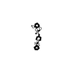 COc1cccc2c1OC(N(C)CC1CCN(c3nc4ccccc4s3)CC1)CO2